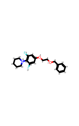 Fc1cc(OCCOCc2ccccc2)cc(F)c1N1CCCCC1